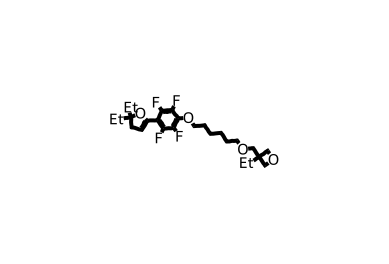 CCC1(COCCCCCCOc2c(F)c(F)c(C3=CCC(CC)(CC)O3)c(F)c2F)COC1